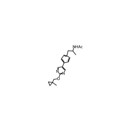 CC(=O)NC(C)Cc1ccc(-c2cnc(OCC3(C)CC3)nc2)cc1